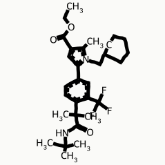 CCOC(=O)c1cc(-c2ccc(C(C)(C)C(=O)NC(C)(C)C)c(C(F)(F)F)c2)n(CC2CCCCC2)c1C